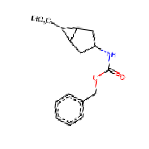 CCOC(=O)C1C2CC(NC(=O)OCc3ccccc3)CC21